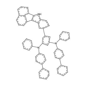 c1ccc(-c2ccc(N(c3ccccc3)c3cc(-c4ccc5[nH]c6c(c5c4)-c4cccc5cccc-6c45)cc(N(c4ccccc4)c4ccc(-c5ccccc5)cc4)c3)cc2)cc1